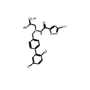 O=C(NN(Cc1ccc(-c2cc(Cl)ccc2Cl)cc1)CC(O)C(=O)O)c1cc(O)no1